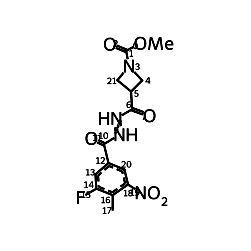 COC(=O)N1CC(C(=O)NNC(=O)c2cc(F)c(C)c([N+](=O)[O-])c2)C1